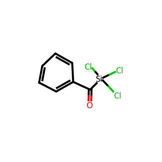 O=C(c1ccccc1)[Si](Cl)(Cl)Cl